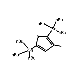 CCC[CH2][Sn]([CH2]CCC)([CH2]CCC)[c]1cc(C)[c]([Sn]([CH2]CCC)([CH2]CCC)[CH2]CCC)s1